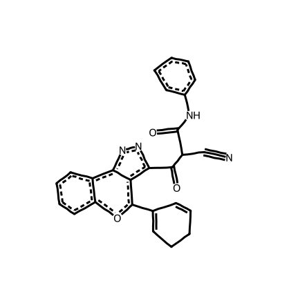 N#CC(C(=O)Nc1ccccc1)C(=O)c1nnc2c3ccccc3oc(C3=CCCC=C3)c1-2